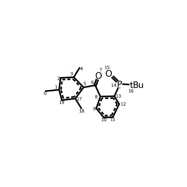 Cc1cc(C)c(C(=O)c2ccccc2[P](=O)C(C)(C)C)c(C)c1